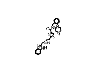 CN1CCN(c2ccccc2CNC(=O)c2csc(CCNCc3nc4ccccc4[nH]3)n2)CC1